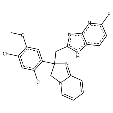 COc1cc(C2(Cc3nc4nc(F)ccc4[nH]3)CN3C=CC=CC3=N2)c(Cl)cc1Cl